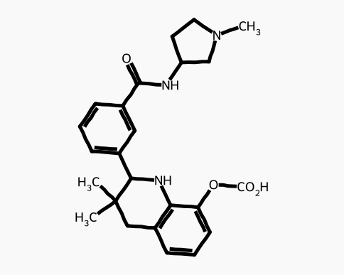 CN1CCC(NC(=O)c2cccc(C3Nc4c(cccc4OC(=O)O)CC3(C)C)c2)C1